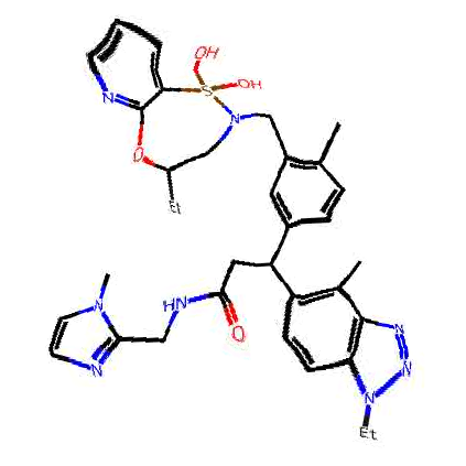 CCC1CN(Cc2cc(C(CC(=O)NCc3nccn3C)c3ccc4c(nnn4CC)c3C)ccc2C)S(O)(O)c2cccnc2O1